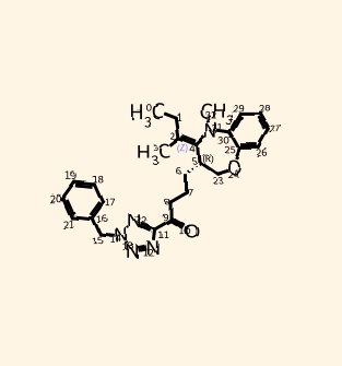 CC/C(C)=C1/[C@@H](CCCC(=O)c2nnn(Cc3ccccc3)n2)COc2ccccc2N1C